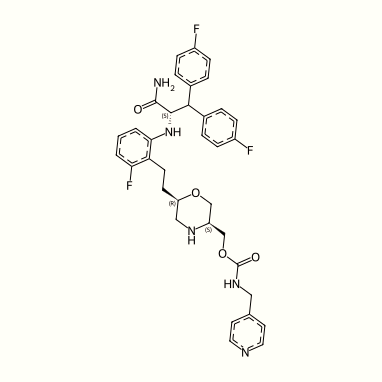 NC(=O)[C@@H](Nc1cccc(F)c1CC[C@@H]1CN[C@H](COC(=O)NCc2ccncc2)CO1)C(c1ccc(F)cc1)c1ccc(F)cc1